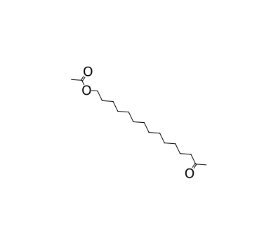 CC(=O)CCCCCCCCCCCCCOC(C)=O